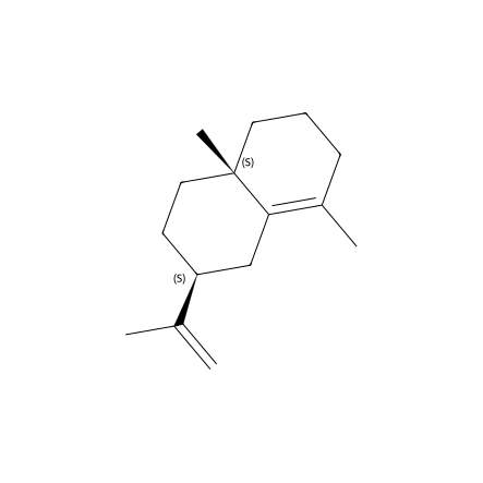 C=C(C)[C@H]1CC[C@]2(C)CCCC(C)=C2C1